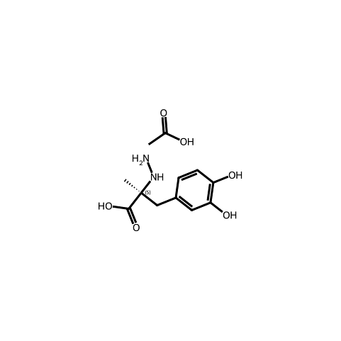 CC(=O)O.C[C@@](Cc1ccc(O)c(O)c1)(NN)C(=O)O